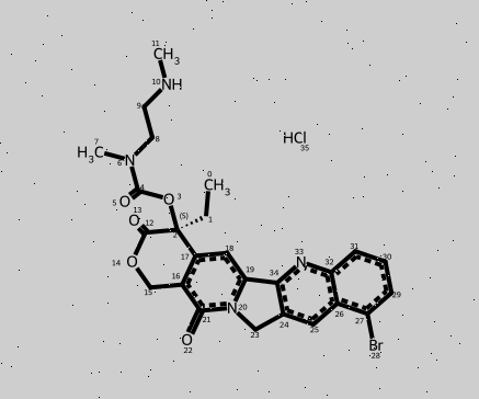 CC[C@@]1(OC(=O)N(C)CCNC)C(=O)OCc2c1cc1n(c2=O)Cc2cc3c(Br)cccc3nc2-1.Cl